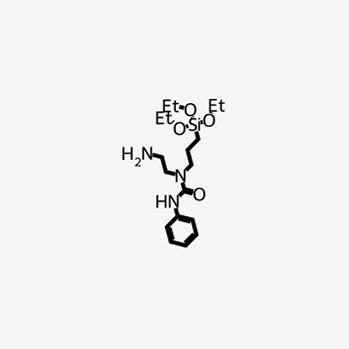 CCO[Si](CCCN(CCN)C(=O)Nc1ccccc1)(OCC)OCC